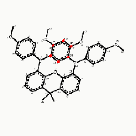 COc1ccc(P(c2ccc(OC)cc2)c2cccc3c2Oc2c(P(c4ccc(OC)cc4)c4ccc(OC)cc4)cccc2C3(C)C)cc1